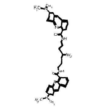 CN(C)c1ccc2nc3c(C(=O)NCCCC(N)CCCNC(=O)c4cccc5cc6cc(N(C)C)ccc6nc45)cccc3cc2c1